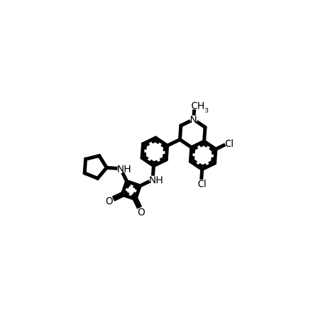 CN1Cc2c(Cl)cc(Cl)cc2C(c2cccc(Nc3c(NC4CCCC4)c(=O)c3=O)c2)C1